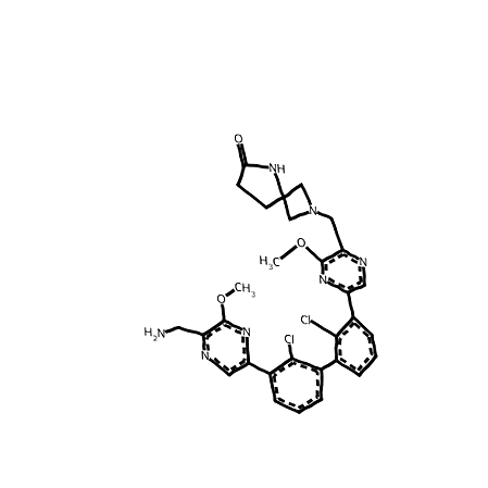 COc1nc(-c2cccc(-c3cccc(-c4cnc(CN5CC6(CCC(=O)N6)C5)c(OC)n4)c3Cl)c2Cl)cnc1CN